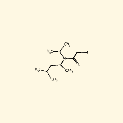 CC(C)CC(C)N(C(=S)CI)C(C)C